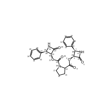 O=C(O[C@@H]1C(=O)N[C@@H]1c1ccccc1)C1CCCN1C(=O)O[C@@H]1C(=O)N[C@@H]1c1ccccc1